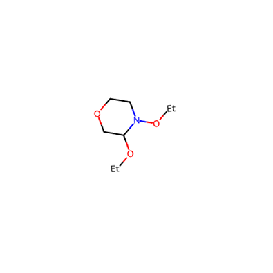 CCOC1COCCN1OCC